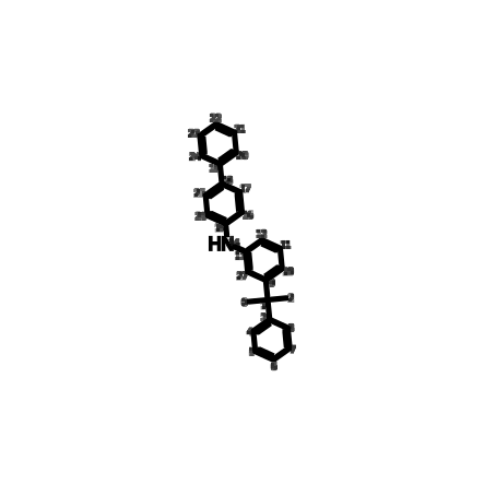 CC(C)(c1ccccc1)c1cccc(Nc2ccc(-c3ccccc3)cc2)c1